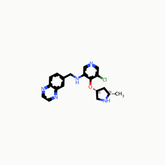 C[C@H]1C[C@@H](Oc2c(Cl)cncc2NCc2ccc3nccnc3c2)CN1